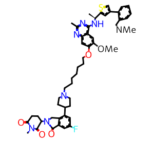 CNCc1ccccc1-c1csc([C@H](C)Nc2nc(C)nc3cc(OCCCCCCCN4CCC(c5cc(F)cc6c5CN(C5CCC(=O)N(C)C5=O)C6=O)CC4)c(OC)cc23)c1